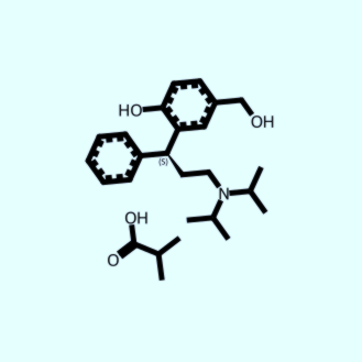 CC(C)C(=O)O.CC(C)N(CC[C@@H](c1ccccc1)c1cc(CO)ccc1O)C(C)C